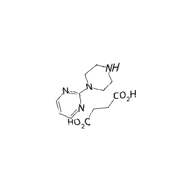 O=C(O)CCC(=O)O.c1cnc(N2CCNCC2)nc1